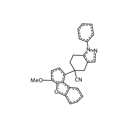 COc1ccc(C2(C#N)CCc3c(cnn3-c3ccccc3)C2)c2c1oc1ccccc12